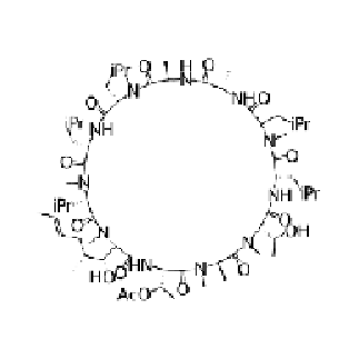 CC=CC[C@@H](C)[C@@H](O)[C@H]1C(=O)N[C@@H](C(C)OC(C)=O)C(=O)N(C)[C@H](C)C(=O)N(C)[C@@H](C(C)O)C(=O)N[C@@H](CC(C)C)C(=O)N(C)C(CC(C)C)C(=O)N[C@@H](C)C(=O)N[C@H](C)C(=O)N(C)[C@@H](CC(C)C)C(=O)N[C@@H](CC(C)C)C(=O)N(C)[C@@H](C(C)C)C(=O)N1C